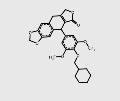 COc1cc(C2C3=C(COC3=O)Cc3cc4c(cc32)OCO4)cc(OC)c1OCC1CCCCC1